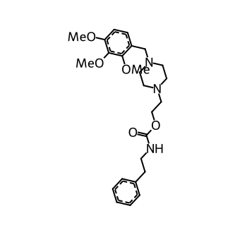 COc1ccc(CN2CCN(CCOC(=O)NCCc3ccccc3)CC2)c(OC)c1OC